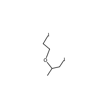 CC(CI)OCCI